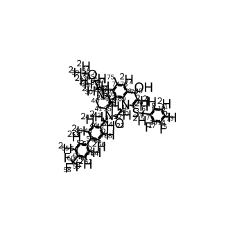 [2H]C1=C(SC([2H])([2H])c2c([2H])c([2H])c([2H])c(F)c2F)N(C([2H])([2H])C(=O)N(C2CCN(C([2H])([2H])C([2H])([2H])OC([2H])([2H])[2H])CC2)C([2H])([2H])c2c([2H])c([2H])c(-c3c([2H])c([2H])c(C(F)(F)F)c([2H])c3[2H])c([2H])c2[2H])c2c([2H])c([2H])c(C)c([2H])c2C1O